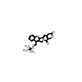 CC(C)(C)O/N=C/c1c2c(nc3ccccc13)-c1cc3c(c(=O)n1C2)COC(=O)C3